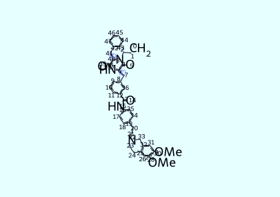 C=CCn1c(=O)/c(=C/c2cccc(C(=O)Nc3ccc(CCN4CCc5cc(OC)c(OC)cc5C4)cc3)c2)[nH]c(=O)/c1=C/c1ccccc1